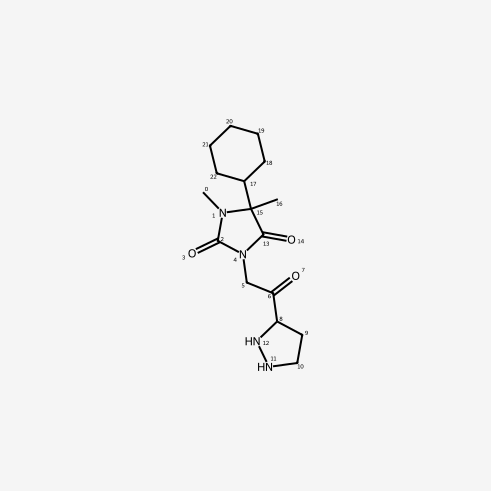 CN1C(=O)N(CC(=O)C2CCNN2)C(=O)C1(C)C1CCCCC1